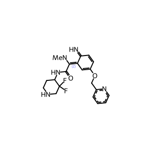 CN/C(C(=O)NC1CCNCC1(F)F)=C1/C=C(OCc2ccccn2)C=CC1=N